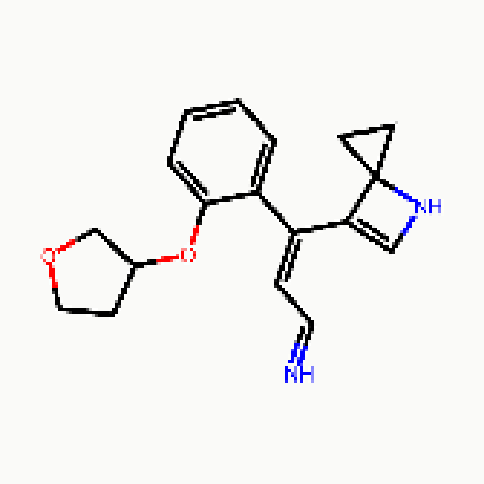 N=C/C=C(\C1=CNC12CC2)c1ccccc1OC1CCOC1